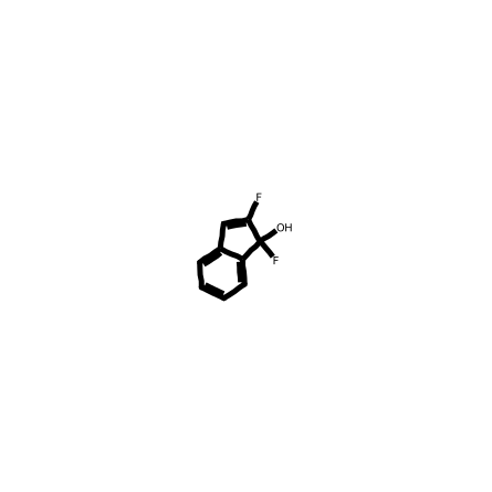 OC1(F)C(F)=Cc2ccccc21